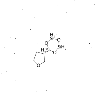 C1CCOC1.O1[SiH2]O[SiH2]O[SiH2]1